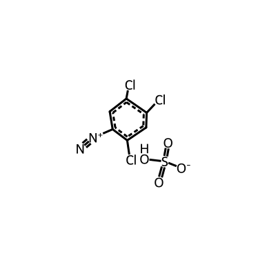 N#[N+]c1cc(Cl)c(Cl)cc1Cl.O=S(=O)([O-])O